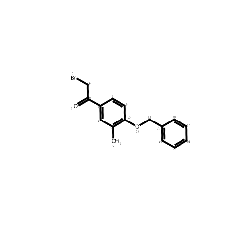 Cc1cc(C(=O)CBr)ccc1OCc1ccccc1